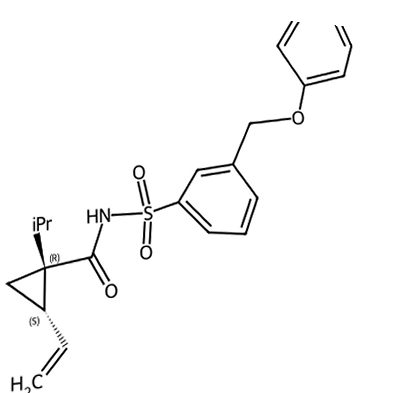 C=C[C@@H]1C[C@@]1(C(=O)NS(=O)(=O)c1cccc(COc2ccccc2)c1)C(C)C